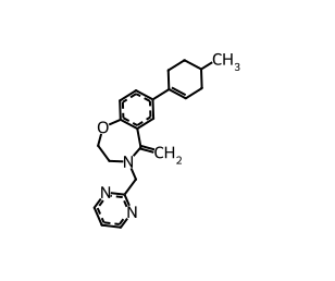 C=C1c2cc(C3=CCC(C)CC3)ccc2OCCN1Cc1ncccn1